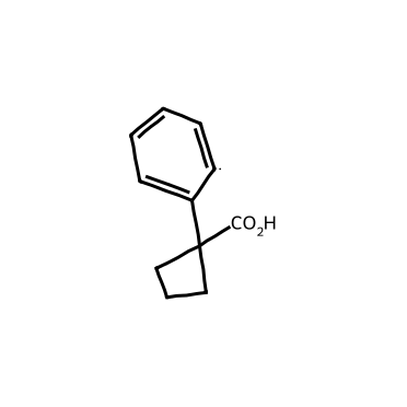 O=C(O)C1(c2[c]cccc2)CCC1